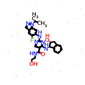 CC(C)n1ncc2cc(F)c(Nc3ncc(C(=O)NCCO)c(N[C@H]4c5ccccc5C[C@H]4O)n3)cc21